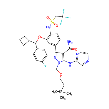 C[Si](C)(C)CCOCn1nc(-c2ccc(NS(=O)(=O)CC(F)(F)F)c(OC(c3ccc(F)cc3)C3CCC3)c2)c(C(N)=O)c1Nc1cnccn1